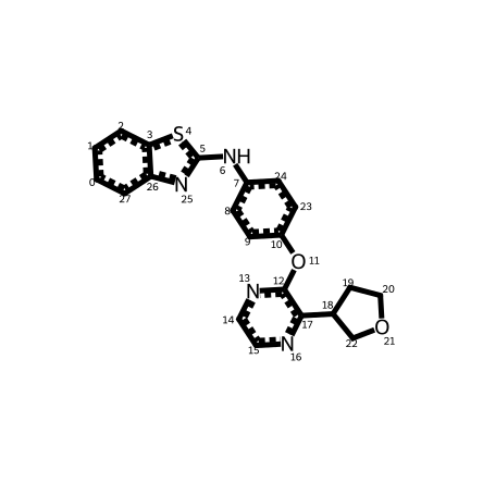 c1ccc2sc(Nc3ccc(Oc4nccnc4C4CCOC4)cc3)nc2c1